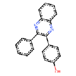 Oc1ccc(-c2nc3ccccc3nc2-c2ccccc2)cc1